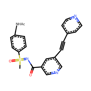 CC(=O)Nc1ccc(S(C)(=O)=NC(=O)c2cncc(C#Cc3ccncc3)c2)cc1